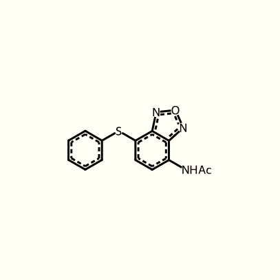 CC(=O)Nc1ccc(Sc2ccccc2)c2nonc12